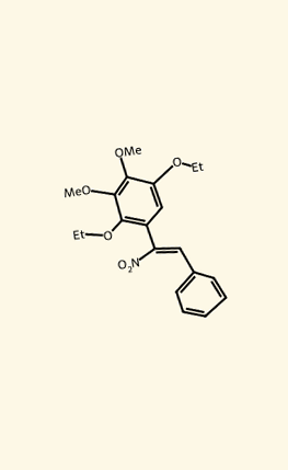 CCOc1cc(C(=Cc2ccccc2)[N+](=O)[O-])c(OCC)c(OC)c1OC